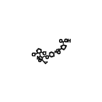 O=C(O)c1cccc([C@@H]2C[C@@H](c3ccc(OCc4c(-c5c(Cl)cccc5Cl)noc4C4CC4)cc3)O2)c1